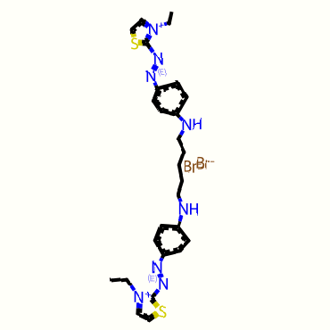 CC[n+]1ccsc1/N=N/c1ccc(NCCCCCNc2ccc(/N=N/c3scc[n+]3CC)cc2)cc1.[Br-].[Br-]